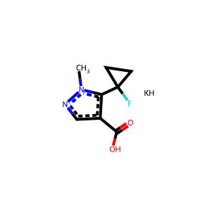 Cn1ncc(C(=O)O)c1C1(F)CC1.[KH]